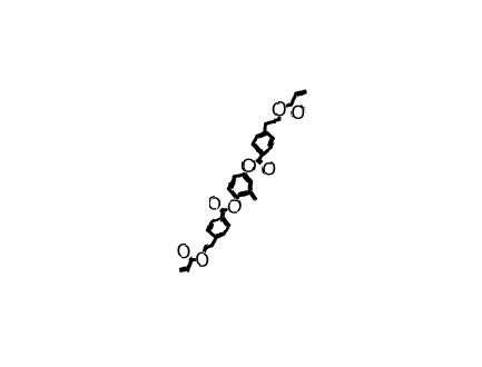 C=CC(=O)OCCc1ccc(C(=O)Oc2ccc(OC(=O)c3ccc(CCOC(=O)C=C)cc3)c(C)c2)cc1